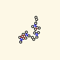 c1ccc(-n2c3ccccc3c3c(-c4cccc(-c5ccccc5N(c5ccc(-c6ccc7c(-c8cccc(-n9c%10ccccc%10c%10c(-c%11cccc(-c%12ccccc%12N(c%12ccc(-c%13ccc%14ccccc%14c%13)cc%12)c%12ccc%13ccccc%13c%12)c%11)cccc%109)c8)cccc7c6)cc5)c5cc6ccccc6c6ccccc56)c4)cccc32)cc1